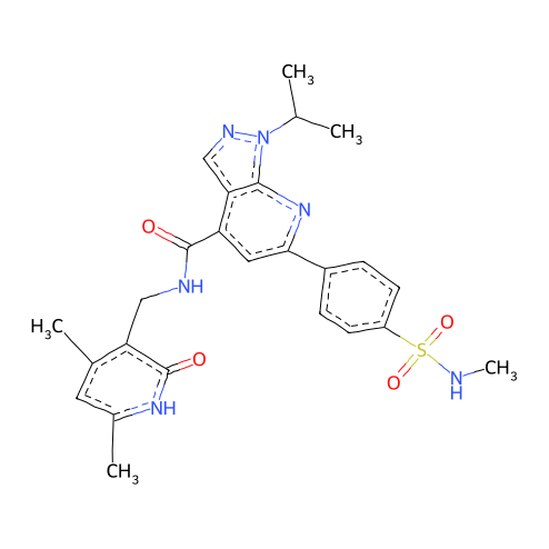 CNS(=O)(=O)c1ccc(-c2cc(C(=O)NCc3c(C)cc(C)[nH]c3=O)c3cnn(C(C)C)c3n2)cc1